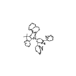 CC1(C)c2ccccc2-c2c1c1c3ccccc3ccc1n2-c1cc(-c2ccccn2)nc(-c2ccccn2)c1